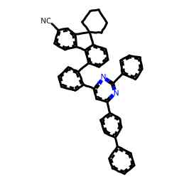 N#Cc1ccc2c(c1)C1(CCCCC1)c1cccc(-c3ccccc3-c3cc(-c4ccc(-c5ccccc5)cc4)nc(-c4ccccc4)n3)c1-2